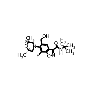 C[C@@H]1CN(c2c(CO)cc3c(C(=O)NC(C)(C)C)noc3c2F)C[C@H](C)O1